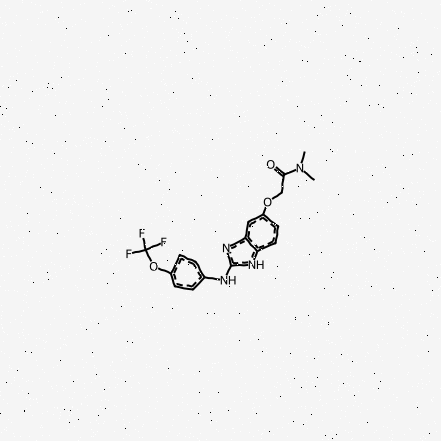 CN(C)C(=O)COc1ccc2[nH]c(Nc3ccc(OC(F)(F)F)cc3)nc2c1